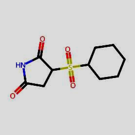 O=C1CC(S(=O)(=O)C2CCCCC2)C(=O)N1